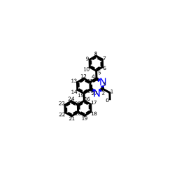 CCc1nc(-c2ccccc2)c2cccc(-c3cccc4ccccc34)c2n1